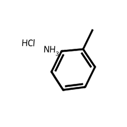 Cc1ccccc1.Cl.N